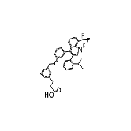 CC(C)c1ccccc1-c1cnc2c(C(F)(F)F)cccc2c1-c1cccc(OCc2cccc(CCC(=O)O)c2)c1